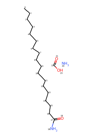 CCCCCCCCCCCCCCCCCC(N)=O.N.O=CO